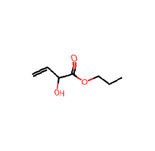 C=CC(O)C(=O)OCCC